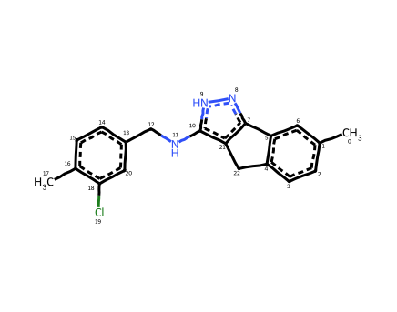 Cc1ccc2c(c1)-c1n[nH]c(NCc3ccc(C)c(Cl)c3)c1C2